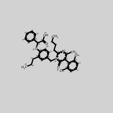 CCCCc1nc(C)c(-c2c(Cl)cccc2Cl)c(=O)n1Cc1ccc(OC(C(=O)O)c2ccccc2)c(CCC)c1